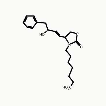 O=C(O)CCCCCCN1C(=O)OCC1/C=C/[C@@H](O)Cc1ccccc1